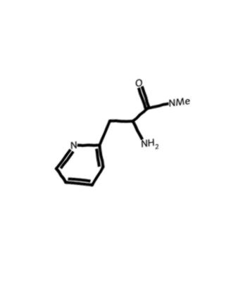 CNC(=O)C(N)Cc1ccccn1